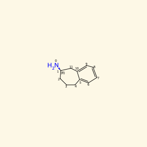 N[C@@H]1CCCc2ccccc2C1